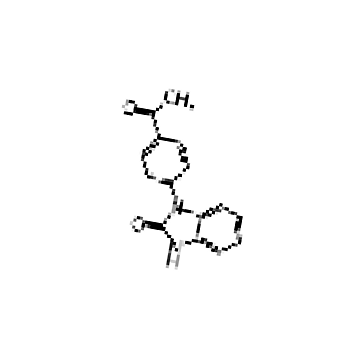 CC(=O)c1ccc(-n2c(=O)[nH]c3ccccc32)cc1